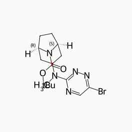 CN(c1ncc(Br)nn1)C1C[C@H]2CC[C@@H](C1)N2C(=O)OC(C)(C)C